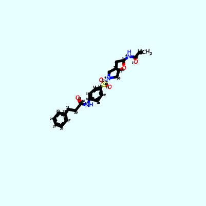 C=CC(=O)NC1CC2CN(S(=O)(=O)c3ccc(NC(=O)CCc4ccccc4)cc3)CC2O1